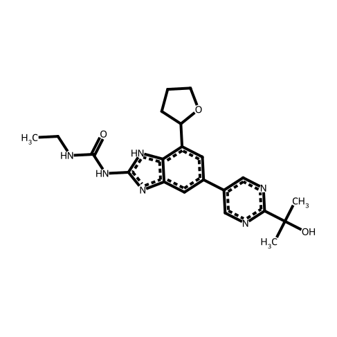 CCNC(=O)Nc1nc2cc(-c3cnc(C(C)(C)O)nc3)cc(C3CCCO3)c2[nH]1